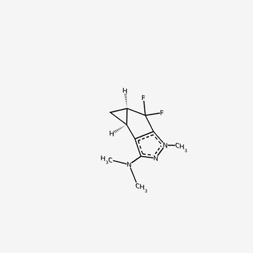 CN(C)c1nn(C)c2c1[C@H]1C[C@H]1C2(F)F